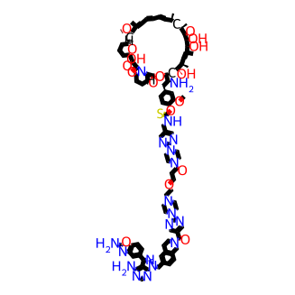 CO[C@H]1C[C@@H]2CCC[C@@](O)(O2)C(=O)C(=O)N2CCCC[C@H]2C(=O)O[C@H]([C@H](N)C[C@@H]2CC[C@@H](OC(=S)NCc3cnc(N4CCN(C(=O)CCOCCN5CCN(c6ncc(C(=O)N7CCc8cc(Cn9nc(-c%10ccc%11oc(N)nc%11c%10)c%10c(N)ncnc%109)ccc8C7)cn6)CC5)CC4)nc3)[C@H](OC)C2)C[C@@H](O)[C@H](C)/C=C(\C)[C@@H](O)[C@@H](O)C(=O)[C@H](C)C[C@H](C)/C=C/C=C/C=C/1C